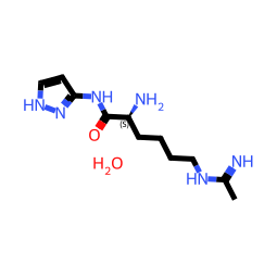 CC(=N)NCCCC[C@H](N)C(=O)Nc1cc[nH]n1.O